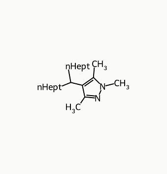 CCCCCCCC(CCCCCCC)c1c(C)nn(C)c1C